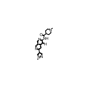 [2H]c1c(NC(=O)C2CCN(C)CC2)ncc2cnc(-c3cnn(C)c3)cc12